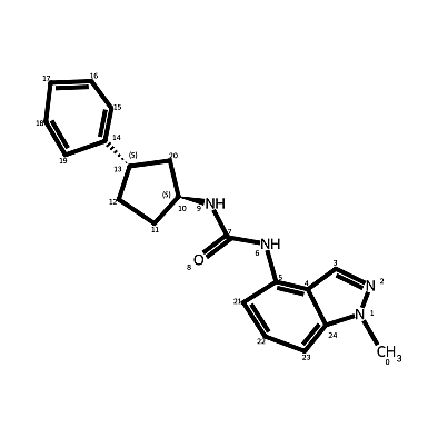 Cn1ncc2c(NC(=O)N[C@H]3CC[C@H](c4ccccc4)C3)cccc21